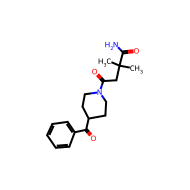 CC(C)(CC(=O)N1CCC(C(=O)c2ccccc2)CC1)C(N)=O